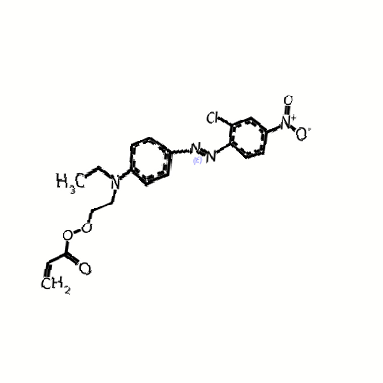 C=CC(=O)OOCCN(CC)c1ccc(/N=N/c2ccc([N+](=O)[O-])cc2Cl)cc1